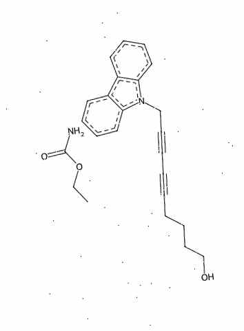 CCOC(N)=O.OCCCCC#CC#CCn1c2ccccc2c2ccccc21